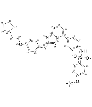 COc1ccc(S(=O)(=O)Nc2ccc(-c3cccc4nc(Nc5ccc(OCCN6CCCC6)cc5)nn34)cc2)cc1